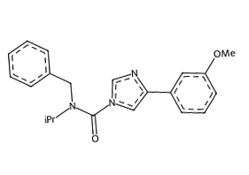 COc1cccc(-c2cn(C(=O)N(Cc3ccccc3)C(C)C)cn2)c1